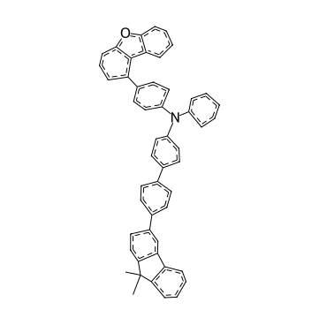 CC1(C)c2ccccc2-c2cc(-c3ccc(-c4ccc(N(c5ccccc5)c5ccc(-c6cccc7oc8ccccc8c67)cc5)cc4)cc3)ccc21